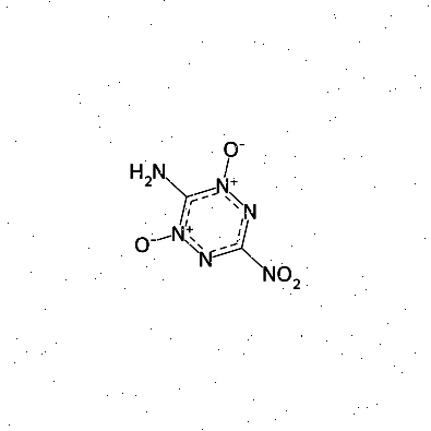 Nc1[n+]([O-])nc([N+](=O)[O-])n[n+]1[O-]